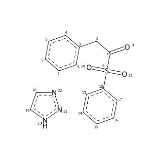 O=C(Cc1ccccc1)S(=O)(=O)c1ccccc1.c1c[nH]nn1